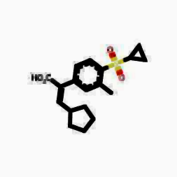 Cc1cc(/C(=C\C2CCCC2)C(=O)O)ccc1S(=O)(=O)C1CC1